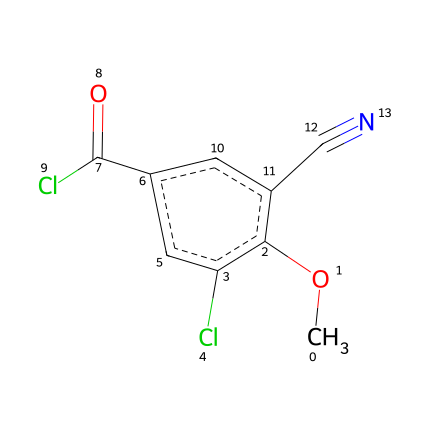 COc1c(Cl)cc(C(=O)Cl)cc1C#N